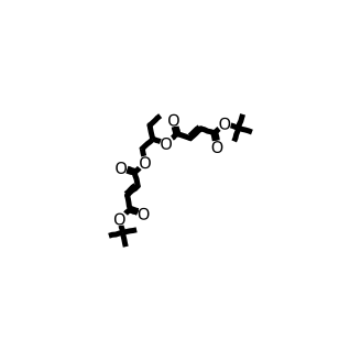 CCC(COC(=O)/C=C/C(=O)OC(C)(C)C)OC(=O)/C=C/C(=O)OC(C)(C)C